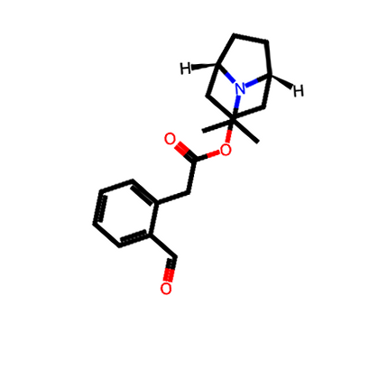 CC(C)N1[C@@H]2CC[C@H]1CC(OC(=O)Cc1ccccc1C=O)C2